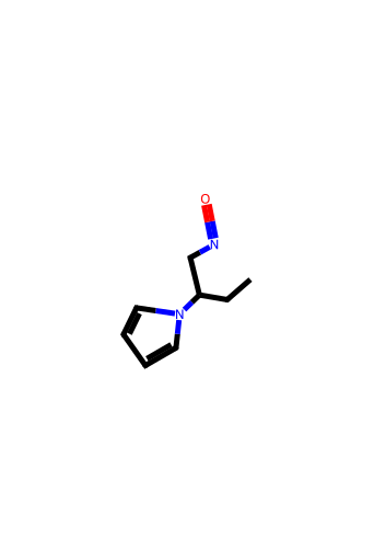 CCC(CN=O)n1cccc1